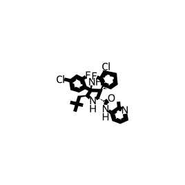 Cc1ncccc1NC(=O)[C@@H]1N[C@@H](CC(C)(C)C)[C@](N)(c2ccc(Cl)cc2F)[C@H]1c1cccc(Cl)c1F